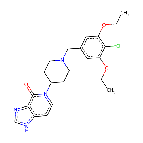 CCOc1cc(CN2CCC(n3ccc4[nH]cnc4c3=O)CC2)cc(OCC)c1Cl